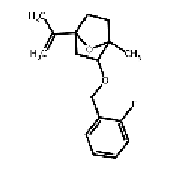 C=C(C)C12CCC(C)(O1)C(OCc1ccccc1F)C2